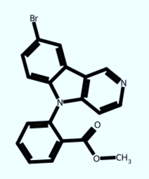 COC(=O)c1ccccc1-n1c2ccncc2c2cc(Br)ccc21